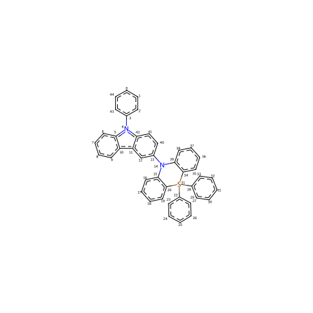 c1ccc(-n2c3ccccc3c3cc(N4c5ccccc5S(c5ccccc5)(c5ccccc5)c5ccccc54)ccc32)cc1